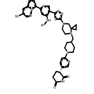 CC(C)Nc1cc(-c2ccc3cc(C#N)cnn23)ncc1-c1nnc(N2CCN(CC3CCN(c4ccc([C@H]5CCC(=O)NC5=O)cn4)CC3)C3(CC3)C2)s1